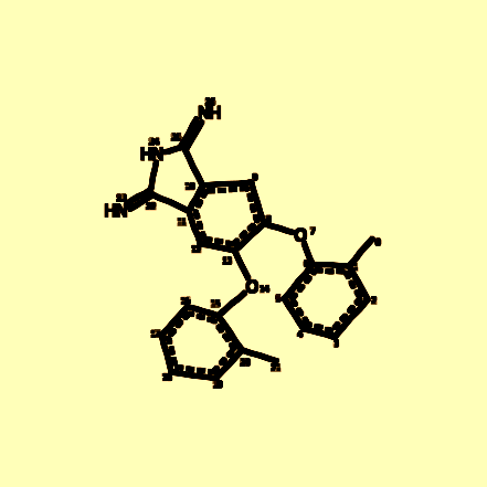 Cc1ccccc1Oc1cc2c(cc1Oc1ccccc1C)C(=N)NC2=N